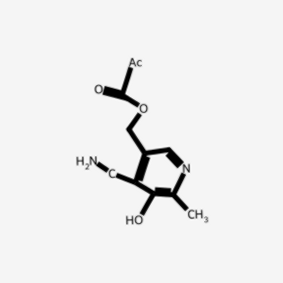 CC(=O)C(=O)OCc1cnc(C)c(O)c1CN